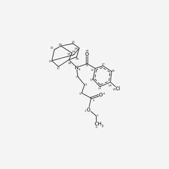 CCOC(=O)CCCN(C(=O)c1ccc(Cl)cc1)C12CC3CC(CC(C3)C1)C2